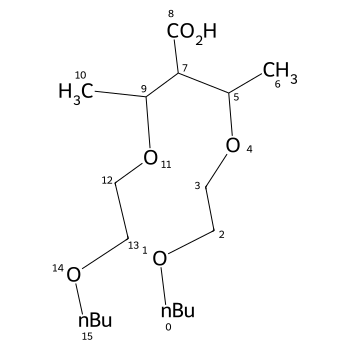 CCCCOCCOC(C)C(C(=O)O)C(C)OCCOCCCC